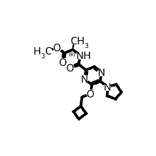 COC(=O)[C@@H](C)NC(=O)c1cnc(N2CCCC2)c(OCC2CCC2)n1